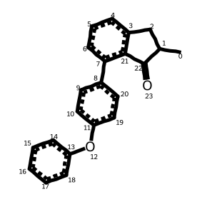 CC1Cc2cccc(-c3ccc(Oc4ccccc4)cc3)c2C1=O